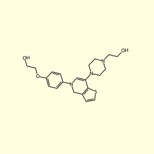 OCCOc1ccc(N2C=C(N3CCN(CCO)CC3)c3sccc3C2)cc1